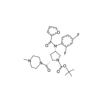 CN1CCN(C(=O)[C@@H]2C[C@H](N(C(=O)c3ccco3)c3ccc(F)cc3F)CN2C(=O)OC(C)(C)C)CC1